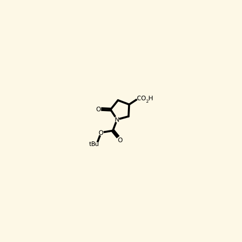 CC(C)(C)OC(=O)N1CC(C(=O)O)CC1=O